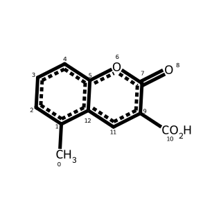 Cc1cccc2oc(=O)c(C(=O)O)cc12